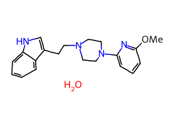 COc1cccc(N2CCN(CCc3c[nH]c4ccccc34)CC2)n1.O